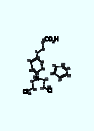 O=C(O)CCCc1ccc(N(CCCl)CCCl)cc1.c1ccccc1